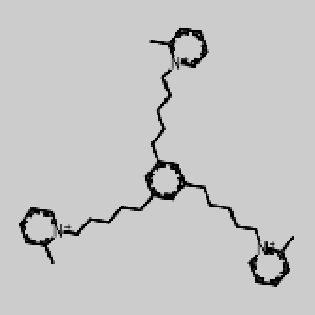 Cc1cccc[n+]1CCCCCc1cc(CCCCC[n+]2ccccc2C)cc(CCCCC[n+]2ccccc2C)c1